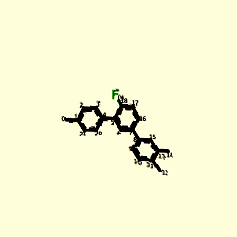 Cc1ccc(-c2cc(-c3ccc(C)c(C)c3)ccc2F)cc1